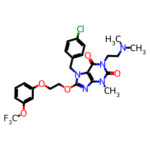 CN(C)CCn1c(=O)c2c(nc(OCCOc3cccc(OC(F)(F)F)c3)n2Cc2ccc(Cl)cc2)n(C)c1=O